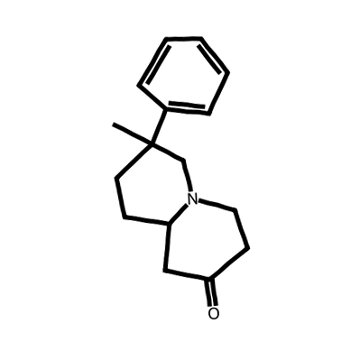 CC1(c2ccccc2)CCC2CC(=O)CCN2C1